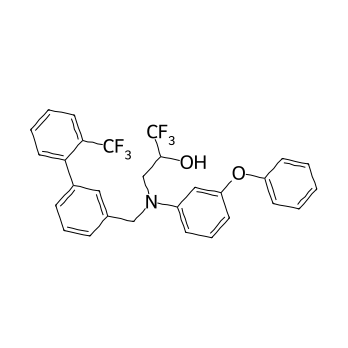 OC(CN(Cc1cccc(-c2ccccc2C(F)(F)F)c1)c1cccc(Oc2ccccc2)c1)C(F)(F)F